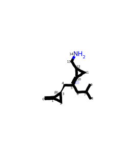 C=C1C[C@@H]1C/C(CC(C)C)=C1/CC1CN